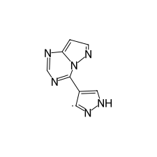 [c]1n[nH]cc1-c1ncnc2ccnn12